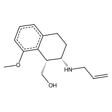 C=CCN[C@H]1CCc2cccc(OC)c2[C@H]1CO